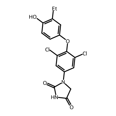 CCc1cc(Oc2c(Cl)cc(N3CC(=O)NC3=O)cc2Cl)ccc1O